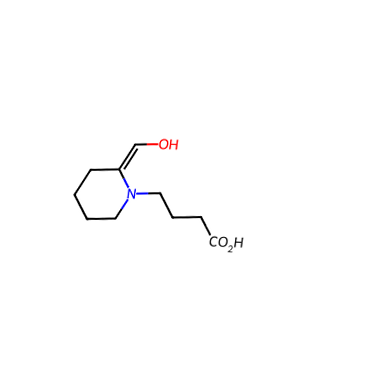 O=C(O)CCCN1CCCC/C1=C/O